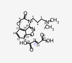 CN(C)CCCN1C(=O)COc2cccc3onc1c23.O=C(O)/C=C/C(=O)O